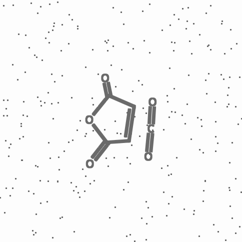 O=C1C=CC(=O)O1.O=C=O